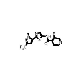 Cn1nc(C(F)(F)F)cc1-c1ncc(NC(=O)c2ccncc2F)s1